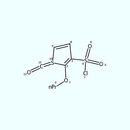 CCCOC1=C(S(=O)(=O)Cl)C=CS1=C=O